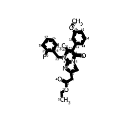 CCOC(=O)Cc1cn2c(=O)c(-c3cccc(OC)c3)c(C)n(Cc3ccccc3F)c2n1